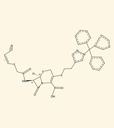 N#C/C=C\SCC(=O)N[C@@H]1C(=O)N2C(C(=O)O)=C(SCCc3cnn(C(c4ccccc4)(c4ccccc4)c4ccccc4)c3)CS[C@H]12